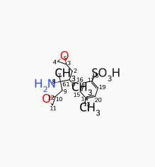 CC(CC1CO1)C(C)(N)CC1CO1.Cc1ccc(S(=O)(=O)O)cc1